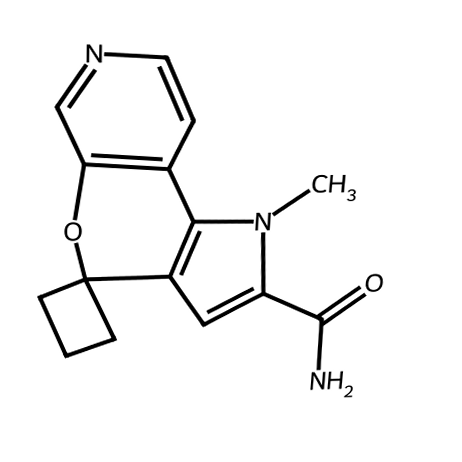 Cn1c(C(N)=O)cc2c1-c1ccncc1OC21CCC1